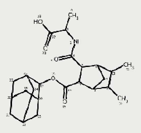 CC(NC(=O)C1C2CC(C(C)C2C)C1C(=O)OC1C2CC3CC(C2)CC1C3)C(=O)O